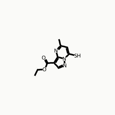 CCOC(=O)c1cnn2c(S)cc(C)nc12